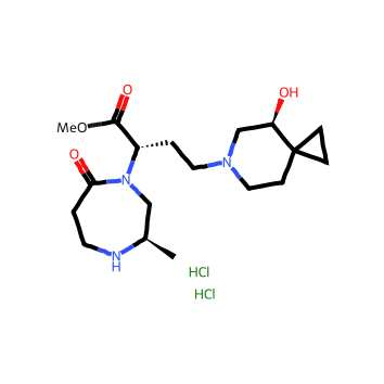 COC(=O)[C@H](CCN1CCC2(CC2)[C@H](O)C1)N1C[C@@H](C)NCCC1=O.Cl.Cl